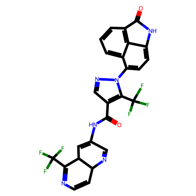 O=C(NC1=CC2C(C(F)(F)F)=NC=CC2N=C1)c1cnn(-c2ccc3c4c(cccc24)C(=O)N3)c1C(F)(F)F